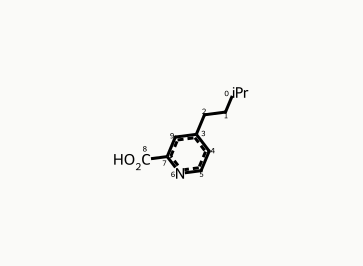 CC(C)CCc1ccnc(C(=O)O)c1